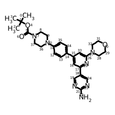 CC(C)(C)OC(=O)N1CCN(c2ccc(-c3cc(-c4cnc(N)nc4)nc(N4CCOCC4)c3)cc2)CC1